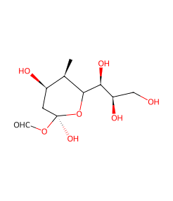 C[C@H]1C([C@@H](O)[C@H](O)CO)O[C@@](O)(OC=O)C[C@H]1O